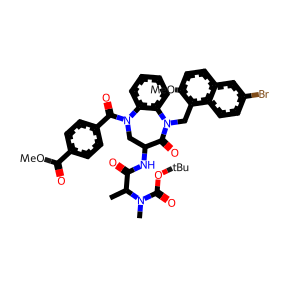 COC(=O)c1ccc(C(=O)N2CC(NC(=O)C(C)N(C)C(=O)OC(C)(C)C)C(=O)N(Cc3c(OC)ccc4cc(Br)ccc34)c3ccccc32)cc1